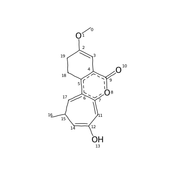 COC1=Cc2c(c3c(oc2=O)=CC(O)=CC(C)C=3)CC1